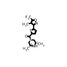 Cc1c(-c2ccc(C(=O)N3C[C@@H](C)N[C@@H](C)C3)s2)noc1C(F)(F)F